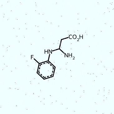 NC(CC(=O)O)Nc1ccccc1F